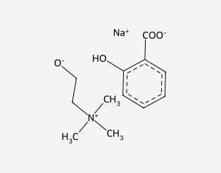 C[N+](C)(C)CC[O-].O=C([O-])c1ccccc1O.[Na+]